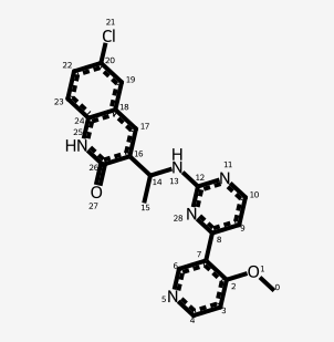 COc1ccncc1-c1ccnc(NC(C)c2cc3cc(Cl)ccc3[nH]c2=O)n1